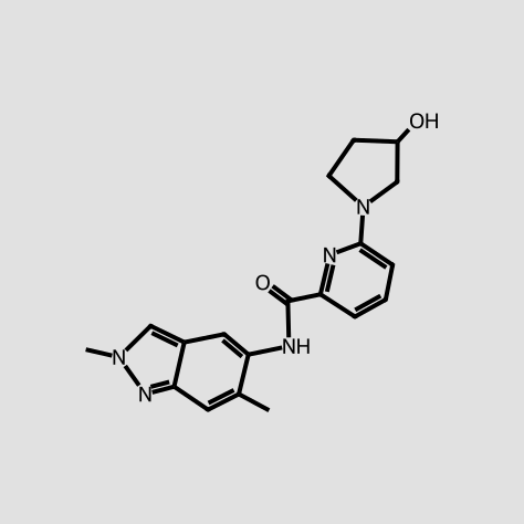 Cc1cc2nn(C)cc2cc1NC(=O)c1cccc(N2CCC(O)C2)n1